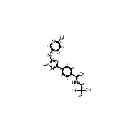 Cn1nc(-c2ccc(C(=O)NCC(F)(F)F)cc2)nc1Nc1ccc(Cl)nc1